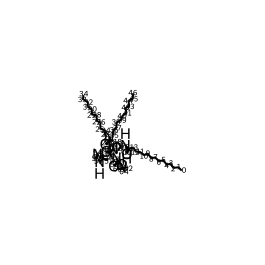 CCCCCCCCCCCCCCC(=O)N[C@H]1C[C@@H](C(=O)N(CCCCCCCCCCCC)CCCCCCCCCCCC)N(C(=O)[C@@H](Cc2cnc[nH]2)NC(=O)OC(C)(C)C)C1